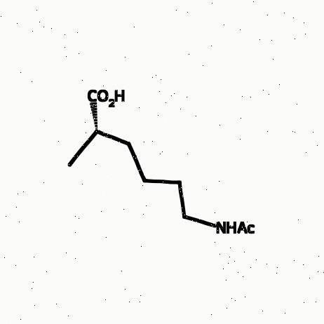 CC(=O)NCCCC[C@H](C)C(=O)O